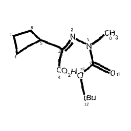 CN(N=C(C(=O)O)C1CCC1)C(=O)OC(C)(C)C